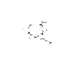 CCNC(=O)[C@@H](NC(=O)[C@H](CO)NC(=O)[C@H](CCCNC(=N)N)NC(=O)[C@H](CC(=O)O)NCC(=O)[C@@](C)(N)CS)[C@H](C)CC